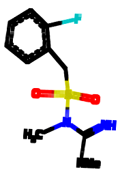 CNC(=N)N(C)S(=O)(=O)Cc1ccccc1F